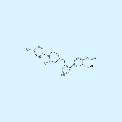 O=C1NCc2cc(-c3n[nH]cc3CN3CCN(c4ccc(C(F)(F)F)cn4)C(C(F)(F)F)C3)ccc2O1